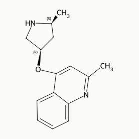 Cc1cc(O[C@H]2CN[C@@H](C)C2)c2ccccc2n1